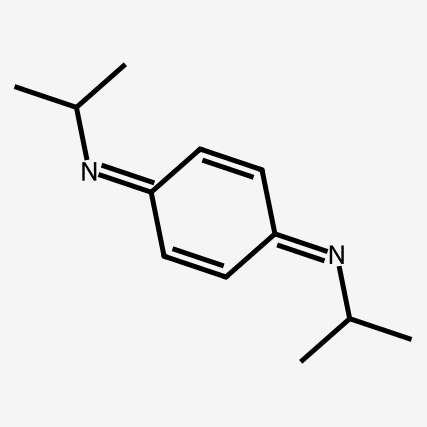 CC(C)N=C1C=CC(=NC(C)C)C=C1